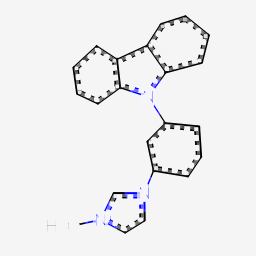 C[n+]1ccn(-c2cccc(-n3c4ccccc4c4ccccc43)c2)c1